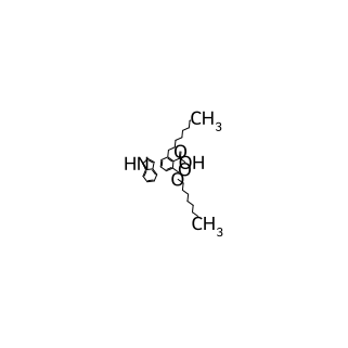 CCCCCCCCOC(=O)c1cccc(CCCCCCCC)c1C(=O)O.c1ccc2[nH]ccc2c1